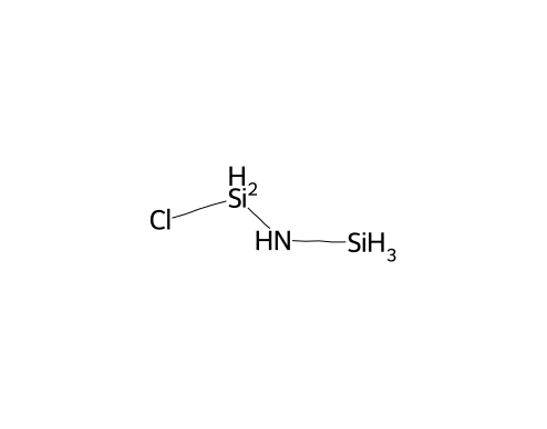 [SiH3]N[SiH2]Cl